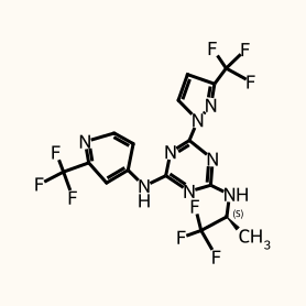 C[C@H](Nc1nc(Nc2ccnc(C(F)(F)F)c2)nc(-n2ccc(C(F)(F)F)n2)n1)C(F)(F)F